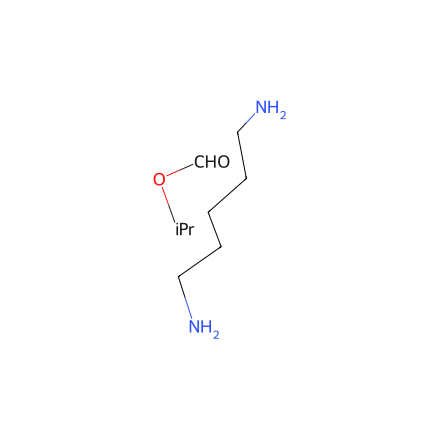 CC(C)OC=O.NCCCCCN